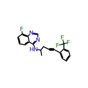 CC(CC#Cc1ccccc1C(F)(F)F)Nc1ncnc2c(F)cccc12